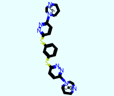 c1cc(Sc2ccc(N3CCN4CCC3CC4)nn2)cc(Sc2ccc(N3CCN4CCC3CC4)nn2)c1